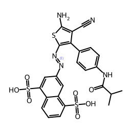 CC(C)C(=O)Nc1ccc(-c2c(/N=N/c3cc(S(=O)(=O)O)c4cccc(S(=O)(=O)O)c4c3)sc(N)c2C#N)cc1